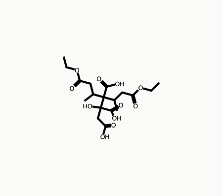 CCOC(=O)CC(C)C(C(=O)O)(C(C)CC(=O)OCC)C(O)(CC(=O)O)C(=O)O